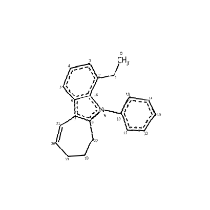 CCc1cccc2c3c(n(-c4ccccc4)c12)CCCC=C3